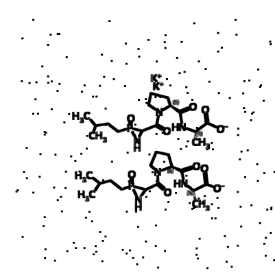 CC(C)CCP1(=O)NC1C(=O)N1CCC[C@H]1C(=O)N[C@@H](C)C(=O)[O-].CC(C)CCP1(=O)NC1C(=O)N1CCC[C@H]1C(=O)N[C@@H](C)C(=O)[O-].[K+].[K+]